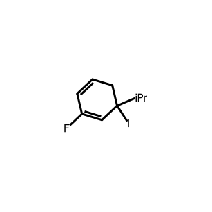 CC(C)C1(I)C=C(F)C=CC1